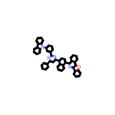 c1ccc(-c2cc(-c3ccc(-c4nc5c6ccccc6oc5c5ccccc45)c4ccccc34)nc(-c3cccc(-n4c5ccccc5c5ccccc54)c3)n2)cc1